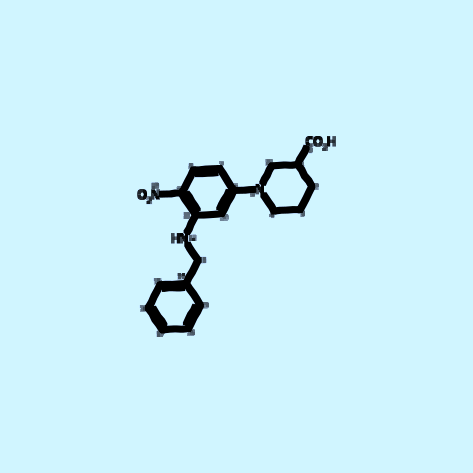 O=C(O)C1CCCN(c2ccc([N+](=O)[O-])c(NCc3ccccc3)c2)C1